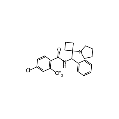 O=C(NC(c1ccccc1)C1(N2CCCC2)CCC1)c1ccc(Cl)cc1C(F)(F)F